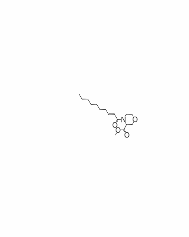 CCCCCCC/C=C/C(=O)N1CCOCC1C(=O)OC